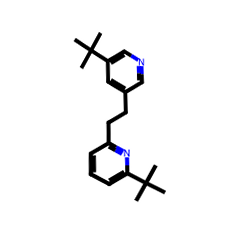 CC(C)(C)c1cncc(CCc2cccc(C(C)(C)C)n2)c1